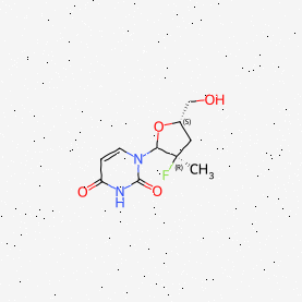 C[C@@]1(F)C[C@@H](CO)OC1n1ccc(=O)[nH]c1=O